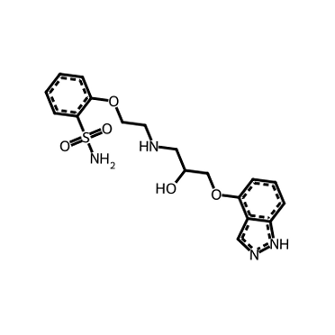 NS(=O)(=O)c1ccccc1OCCNCC(O)COc1cccc2[nH]ncc12